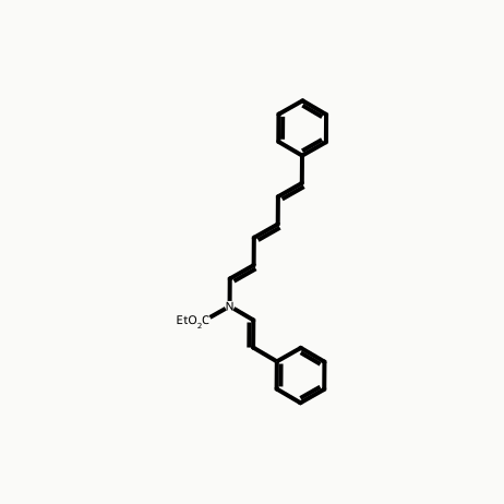 CCOC(=O)N(C=CC=CC=Cc1ccccc1)C=Cc1ccccc1